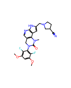 COc1cc(OC)c(F)c(N2Cc3cnc4[nH]c(CN5CCC(C#N)C5)cc4c3N(C)C2=O)c1F